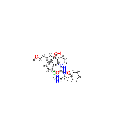 CNCC(CC1(O)CCCCC1)NC(=O)N1CCCC(C(O)(CCCCOC)c2cccc(Cl)c2)C1